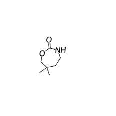 CC1(C)CCNC(=O)OC1